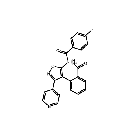 NC(=O)c1ccccc1-c1c(-c2ccncc2)noc1NC(=O)c1ccc(F)cc1